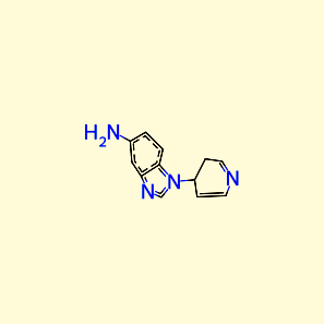 Nc1ccc2c(c1)ncn2C1C=CN=CC1